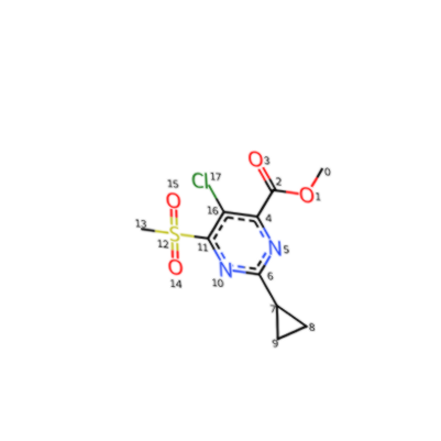 COC(=O)c1nc(C2CC2)nc(S(C)(=O)=O)c1Cl